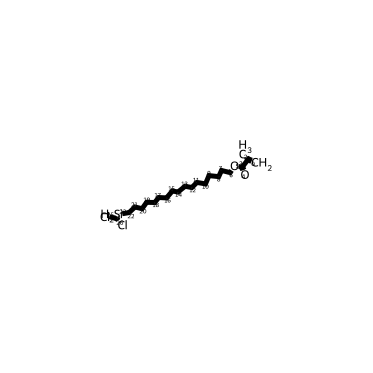 C=C(C)C(=O)OCCCCCCCCCCCCCCCCC[SiH2]C(Cl)Cl